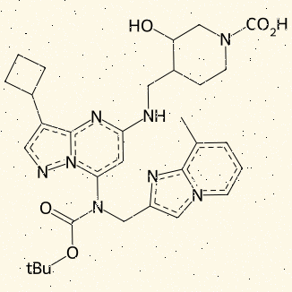 Cc1cccn2cc(CN(C(=O)OC(C)(C)C)c3cc(NCC4CCN(C(=O)O)CC4O)nc4c(C5CCC5)cnn34)nc12